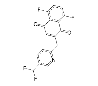 O=C1C=C(Cc2ccc(C(F)F)cn2)C(=O)c2c(F)ccc(F)c21